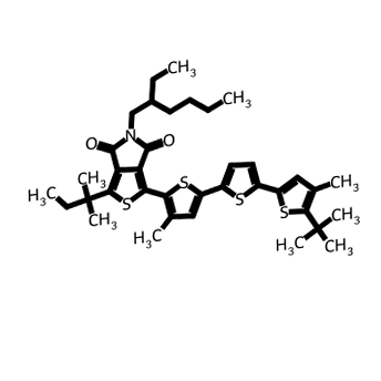 CCCCC(CC)CN1C(=O)c2c(-c3sc(-c4ccc(-c5cc(C)c(C(C)(C)C)s5)s4)cc3C)sc(C(C)(C)CC)c2C1=O